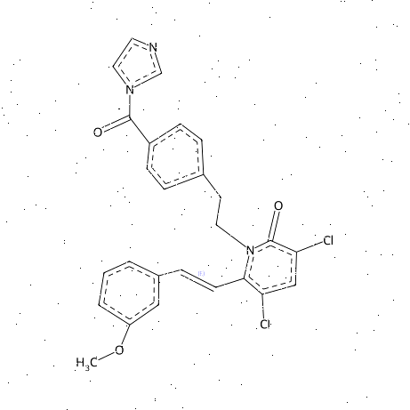 COc1cccc(/C=C/c2c(Cl)cc(Cl)c(=O)n2CCc2ccc(C(=O)n3ccnc3)cc2)c1